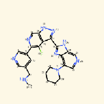 CCNCc1cncc(-c2ncc3[nH]nc(-c4nc5c(N6CCCCC6)cncc5[nH]4)c3c2F)c1